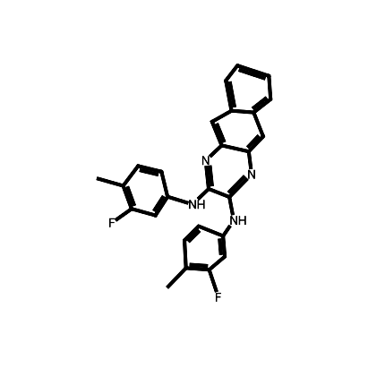 Cc1ccc(Nc2nc3cc4ccccc4cc3nc2Nc2ccc(C)c(F)c2)cc1F